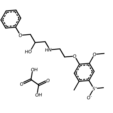 COc1cc([S+](C)[O-])c(C)cc1OCCNCC(O)COc1ccccc1.O=C(O)C(=O)O